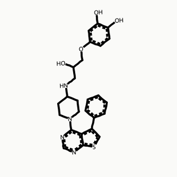 Oc1ccc(OCC(O)CNC2CCN(c3ncnc4scc(-c5ccccc5)c34)CC2)cc1O